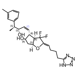 Cc1cccc([C@H](C)[C@@H](O)/C=C\[C@@H]2[C@@H]3[C@H](C[C@H]2O)OC(=CCCCc2nnn[nH]2)C3(F)F)c1